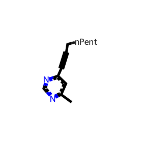 CCCCCCC#Cc1cc(C)ncn1